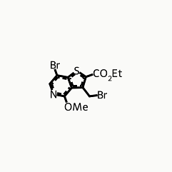 CCOC(=O)c1sc2c(Br)cnc(OC)c2c1CBr